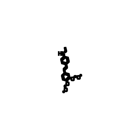 CCNc1ccc(/C=C/c2ccc(OCOC)c(OCOC)c2)cc1